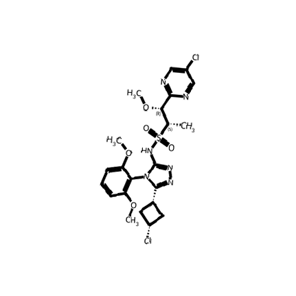 COc1cccc(OC)c1-n1c(NS(=O)(=O)[C@@H](C)[C@H](OC)c2ncc(Cl)cn2)nnc1[C@H]1C[C@@H](Cl)C1